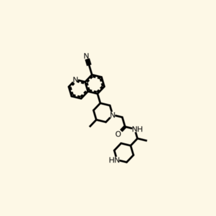 CC1CC(c2ccc(C#N)c3ncccc23)CN(CC(=O)NC(C)C2CCNCC2)C1